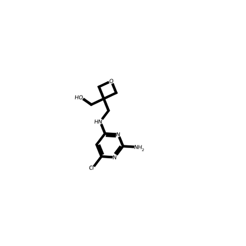 Nc1nc(Cl)cc(NCC2(CO)COC2)n1